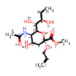 C=CCO[C@]1(C(=O)OC)C[C@@H](O)[C@@H](NC(C)=O)C([C@H](O)[C@H](O)CC)O1